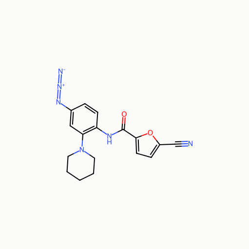 N#Cc1ccc(C(=O)Nc2ccc(N=[N+]=[N-])cc2N2CCCCC2)o1